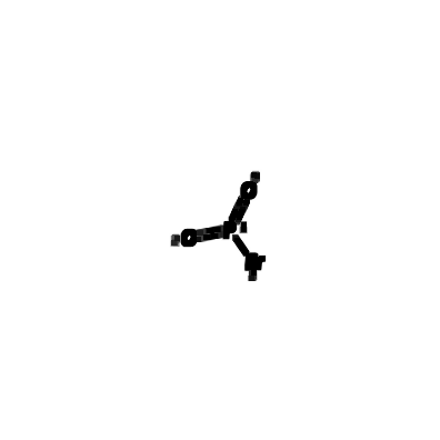 O=P(=O)Br